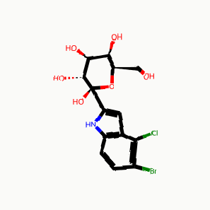 OC[C@H]1O[C@](O)(c2cc3c(Cl)c(Br)ccc3[nH]2)[C@H](O)[C@@H](O)[C@H]1O